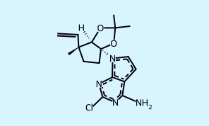 C=C[C@@]1(C)CC[C@]2(n3ccc4c(N)nc(Cl)nc43)OC(C)(C)O[C@H]12